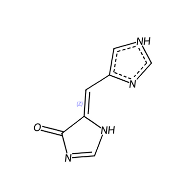 O=C1N=CN/C1=C\c1c[nH]cn1